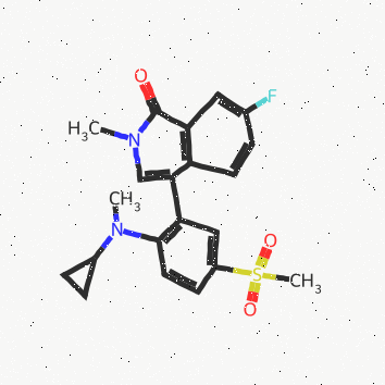 CN(c1ccc(S(C)(=O)=O)cc1-c1cn(C)c(=O)c2cc(F)ccc12)C1CC1